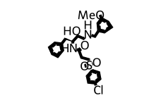 COc1cccc(CNC[C@@H](O)[C@H](Cc2ccccc2)NC(=O)CCS(=O)(=O)c2ccc(Cl)cc2)c1